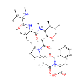 CC[C@H](C)[C@@H]([C@@H](CC(=O)N1[C@@H](C)CC[C@H]1[C@H](OC)[C@@H](C)C(=O)NC(Cc1ccccc1)C(=O)O)OC)N(C)C(=O)C(NC(=O)C(NC)C(C)C)C(C)C